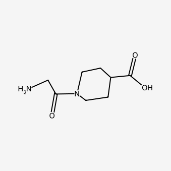 NCC(=O)N1CCC(C(=O)O)CC1